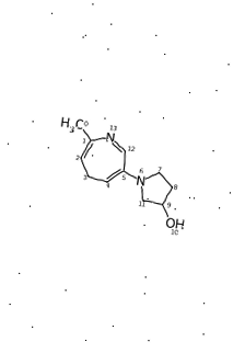 CC1=CCC=C(N2CCC(O)C2)C=N1